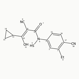 CCc1cc(N(S)C(=O)C(C#N)=C(O)C2CC2)ccc1C#N